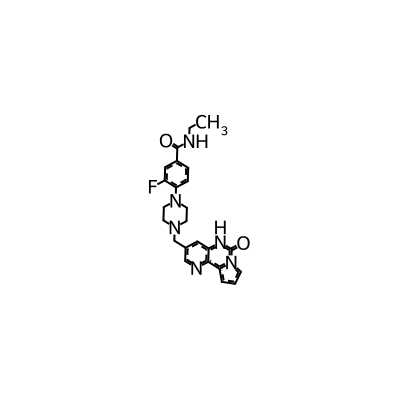 CCNC(=O)c1ccc(N2CCN(Cc3cnc4c(c3)[nH]c(=O)n3cccc43)CC2)c(F)c1